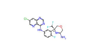 NC1=N[C@@](c2cc(Nc3ncnc4cc(Cl)cnc34)ccc2F)(C(F)F)COC1